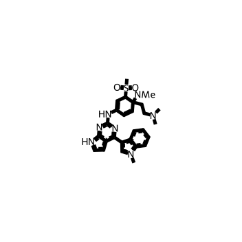 CNC1(CCN(C)C)C=CC(Nc2nc(-c3cn(C)c4ccccc34)c3cc[nH]c3n2)=CC1S(C)(=O)=O